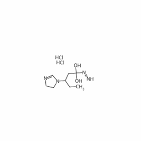 CCC(CC(O)(O)N=N)N1C=NCC1.Cl.Cl